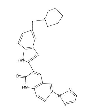 O=c1[nH]c2ccc(-n3nccn3)cc2cc1-c1cc2cc(CN3CCCCC3)ccc2[nH]1